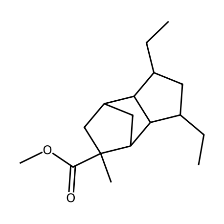 CCC1CC(CC)C2C1C1CC2C(C)(C(=O)OC)C1